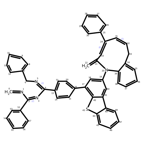 C=N/C(=N\C(=N/Cc1ccccc1)c1ccc(-c2cc(N3C(=C)/C=C(c4ccccc4)\C=C/Cc4ccccc43)cc3c2sc2ccccc23)cc1)c1ccccc1